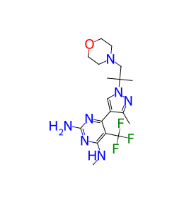 CNc1nc(N)nc(-c2cn(C(C)(C)CN3CCOCC3)nc2C)c1C(F)(F)F